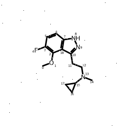 COc1c(F)ccc2[nH]nc(CCN(C)C3CC3)c12